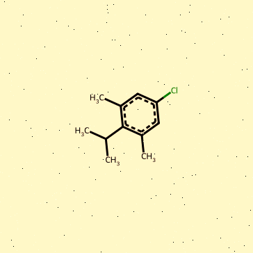 Cc1cc(Cl)cc(C)c1C(C)C